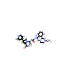 CN1CCN(C[C@@H](NC(=O)C[C@@H]2CNC(=O)c3cc(-c4ccnc(F)c4)cn32)C2CCCCC2)CC1